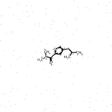 CC(C)Cc1csc(C(=O)N(C)C)c1